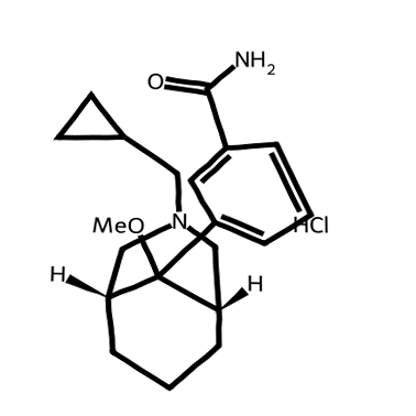 COC1(c2cccc(C(N)=O)c2)[C@@H]2CCC[C@H]1CN(CC1CC1)C2.Cl